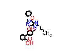 CCCCc1nc2c(Oc3ccccc3)nnc(O)c2n1Cc1ccc(-c2ccccc2C(=O)O)cc1